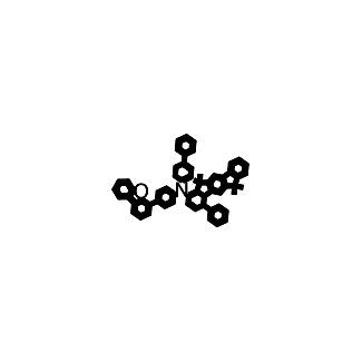 CC1(C)C2=C(N(C3=CC=C(c4ccccc4)CC3)c3ccc(-c4cccc5c4oc4ccccc45)cc3)C=CC(c3ccccc3)C2c2cc3c(cc21)-c1ccccc1C3(C)C